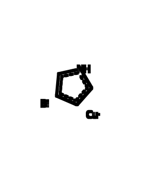 [B].[Cu].c1cc[nH]c1